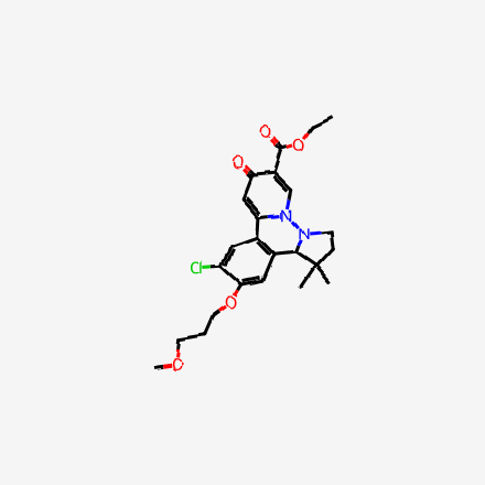 CCOC(=O)c1cn2c(cc1=O)-c1cc(Cl)c(OCCCOC)cc1C1N2CCC1(C)C